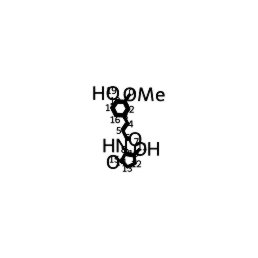 COc1cc(C=CC(=O)NC2=C(O)CCC2=O)ccc1O